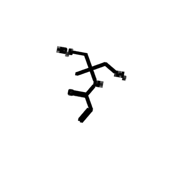 C=CC(=O)NC(C)(CN)CS(=O)(=O)O